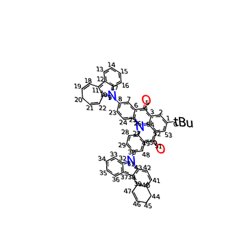 CC(C)(C)c1cc2c(=O)c3cc(-n4c5c(c6ccccc64)C=CCC=C5)ccc3n3c4ccc(-n5c6ccccc6c6c7c(ccc65)CCC=C7)cc4c(=O)c(c1)c23